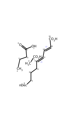 CC(=O)O.CCCC(=O)O.CCCCCCCCCCCCC/C=C/C=C/C(=O)O